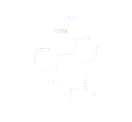 NC(=S)c1ncccc1-c1ccccn1.O=C(O)C(=O)O